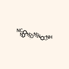 C[C@@H]1CN(c2ccc(C#N)c3ncccc23)C[C@H](CN2CCN(c3ccc4c(c3)CNCC4)CC2)O1